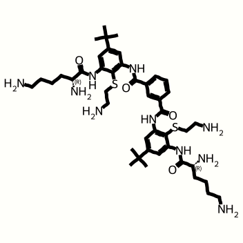 CC(C)(C)c1cc(NC(=O)c2cccc(C(=O)Nc3cc(C(C)(C)C)cc(NC(=O)[C@H](N)CCCCN)c3SCCN)c2)c(SCCN)c(NC(=O)[C@H](N)CCCCN)c1